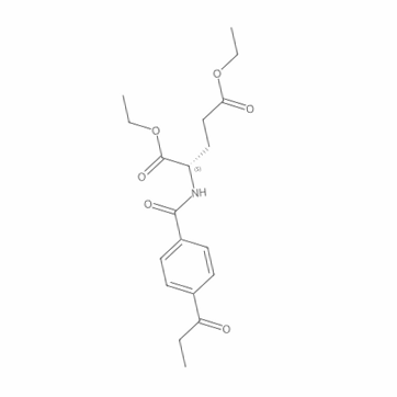 CCOC(=O)CC[C@H](NC(=O)c1ccc(C(=O)CC)cc1)C(=O)OCC